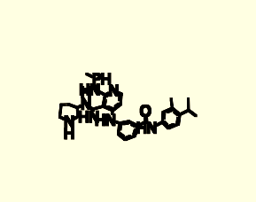 CPNc1nccc(Nc2cccc(C(=O)Nc3ccc(C(C)C)c(C)c3)c2)c1C(=N)N[C@@H]1CCCNC1